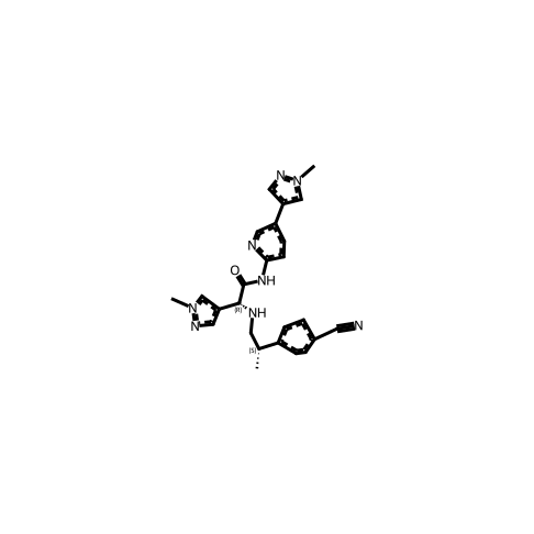 C[C@H](CN[C@@H](C(=O)Nc1ccc(-c2cnn(C)c2)cn1)c1cnn(C)c1)c1ccc(C#N)cc1